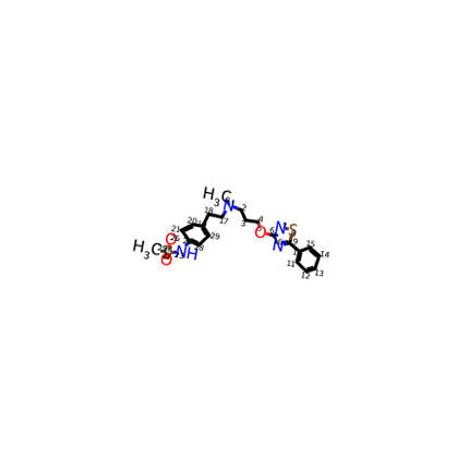 CN(CCCOc1nsc(-c2ccccc2)n1)CCc1ccc(NS(C)(=O)=O)cc1